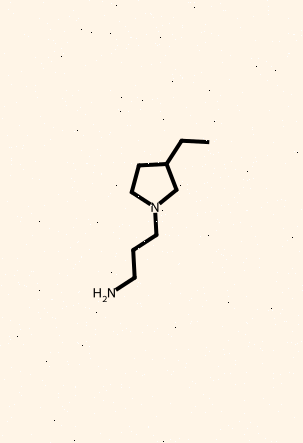 CCC1CCN(CCCN)C1